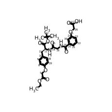 CCOC(=O)COc1ccc(C[C@H](NC(=O)CNC(=O)c2cccc(OCC(=O)O)c2)C(=O)OC(C)(C)C)cc1